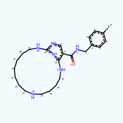 O=C(NCc1ccc(F)cc1)c1cnc2nc1NCCCCNCCCCCCCN2